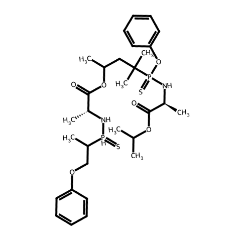 CC(C)OC(=O)[C@H](C)NP(=S)(Oc1ccccc1)C(C)(C)CC(C)OC(=O)[C@@H](C)N[PH](=S)C(C)COc1ccccc1